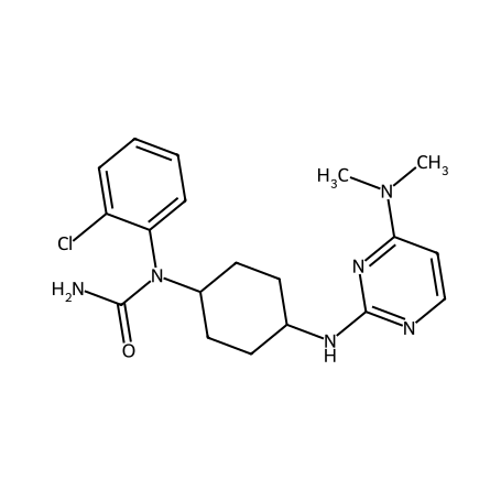 CN(C)c1ccnc(NC2CCC(N(C(N)=O)c3ccccc3Cl)CC2)n1